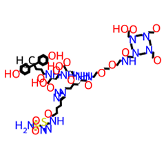 CC(CCC(=O)N[C@@H](CC(=O)N[C@@H](CC(=O)N[C@@H](CCCCn1cc(CCCC(=O)Nc2nnc(S(N)(=O)=O)s2)nn1)C(=O)NCCOCCOCCNC(=O)CN1CCN(CC=O)CCN(CC=O)CCN(CC(=O)O)CC1)C(=O)O)C(=O)O)(c1ccc(O)cc1)c1ccc(O)cc1